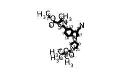 CCOC(=O)c1sc(-c2ccc3c(c2)c(C#N)cn3C2CCN(C(=O)OC(C)(C)C)C2)nc1C